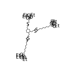 CCO[Si](CCCCCCCCCSSCCC1CCC(CCSCCC[Si](OCC)(OCC)OCC)CC1CCSSCCCCCCCCC[Si](OCC)(OCC)OCC)(OCC)OCC